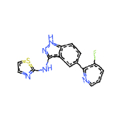 Fc1cccnc1-c1ccc2[nH]nc(Nc3nccs3)c2c1